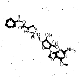 COc1nc(N)nc2c1ncn2[C@@H]1O[C@H](CO[P@]2(=O)NC(C(=O)O[C@H](C)c3ccccc3)CS2)[C@@H](O)[C@@]1(C)O